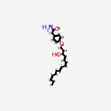 CC/C=C\CC/C=C/C=C\C=C\[C@@H](O)CCOc1ccc(CC(N)=O)cc1